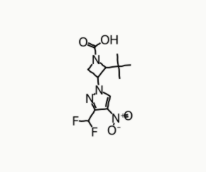 CC(C)(C)C1C(n2cc([N+](=O)[O-])c(C(F)F)n2)CN1C(=O)O